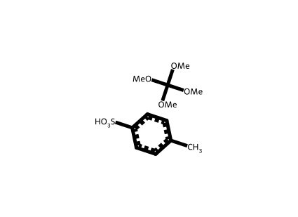 COC(OC)(OC)OC.Cc1ccc(S(=O)(=O)O)cc1